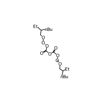 CCCCC(CC)COOOC(=O)OC(=O)OOOCC(CC)CCCC